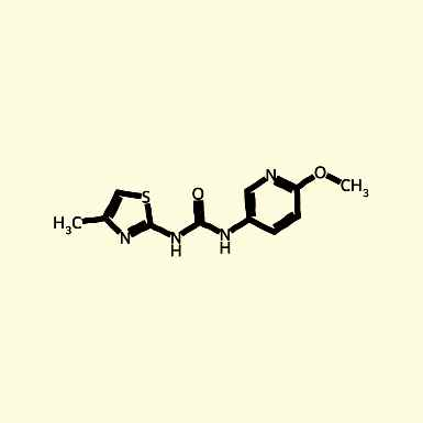 COc1ccc(NC(=O)Nc2nc(C)cs2)cn1